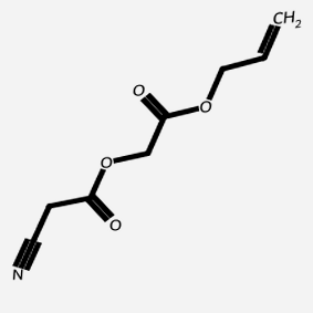 C=CCOC(=O)COC(=O)CC#N